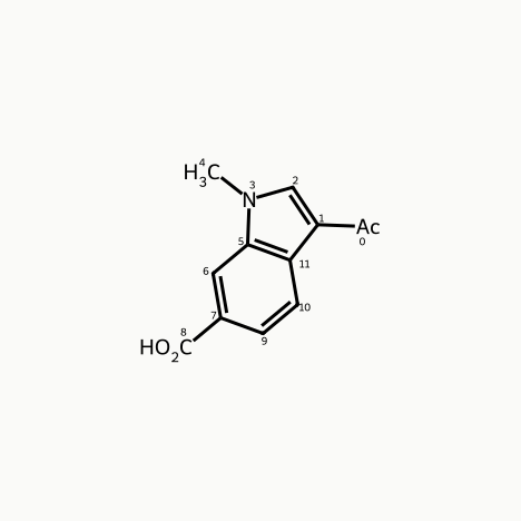 CC(=O)c1cn(C)c2cc(C(=O)O)ccc12